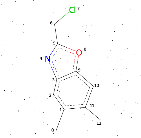 Cc1cc2nc(CCl)oc2cc1C